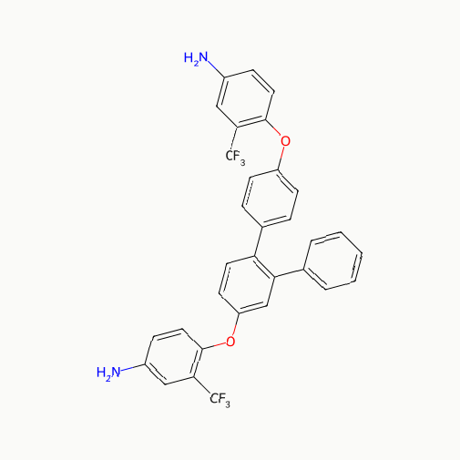 Nc1ccc(Oc2ccc(-c3ccc(Oc4ccc(N)cc4C(F)(F)F)cc3-c3ccccc3)cc2)c(C(F)(F)F)c1